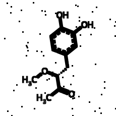 CO[C@H](Cc1ccc(O)c(O)c1)C(C)=O